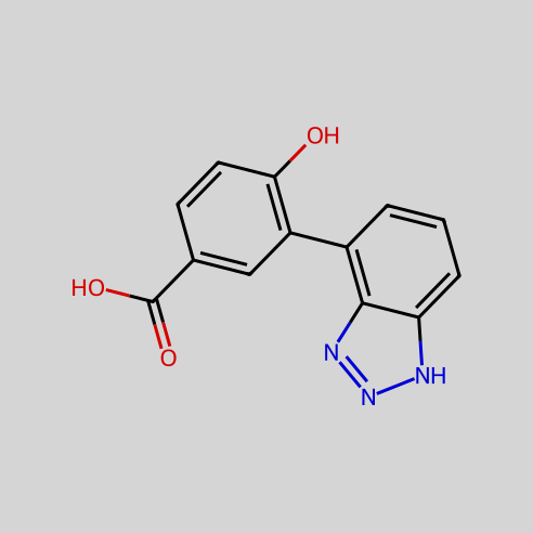 O=C(O)c1ccc(O)c(-c2cccc3[nH]nnc23)c1